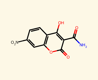 NC(=O)c1c(O)c2ccc([N+](=O)[O-])cc2oc1=O